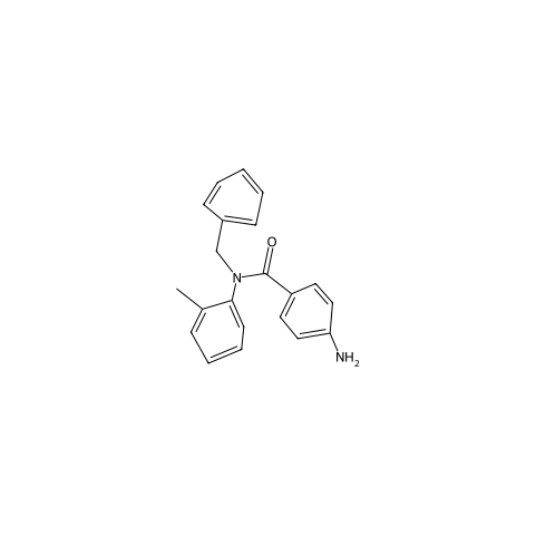 Cc1ccccc1N(Cc1ccccc1)C(=O)c1ccc(N)cc1